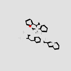 CC(Cc1ccccc1)C(=O)O.CS(C(=O)O)(c1ccccc1)C(C(=O)O)c1ccccc1.O=C(O)c1cc2ccccn2c1